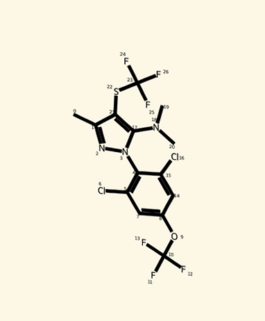 Cc1nn(-c2c(Cl)cc(OC(F)(F)F)cc2Cl)c(N(C)C)c1SC(F)(F)F